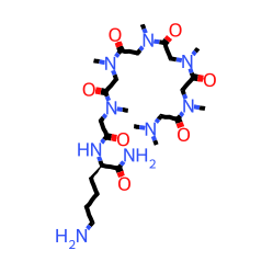 CN(C)CC(=O)N(C)CC(=O)N(C)CC(=O)N(C)CC(=O)N(C)CC(=O)N(C)CC(=O)N[C@H](CCCCN)C(N)=O